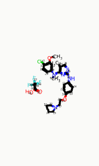 COc1cc(N(C)c2nc(Nc3ccc(OCCN4CCCC4)cc3)ncc2C)ccc1Cl.O=C(O)C(F)(F)F